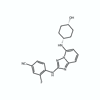 N#Cc1ccc(Nc2nc3cccc(N[C@H]4CC[C@@H](O)CC4)n3n2)c(F)c1